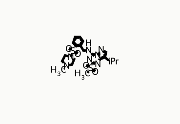 CC(C)c1cnn2c(NCc3ccccc3S(=O)(=O)N3CCN(C)CC3)nc(S(C)(=O)=O)nc12